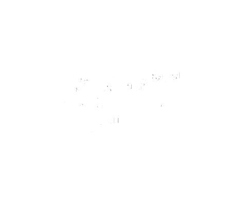 CC1(COc2c(N3CCN([S+]([O-])Cc4cccc(O)c4N)CC3)cnn(-c3ccccc3)c2=O)CC1